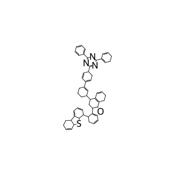 C1=CC(C2CC=CC3=C2C2CC(C4C=C(C5=CCC(c6nc(C7=CCCC=C7)nc(-c7ccccc7)n6)C=C5)CCC4)C4=C(CCC=C4)C2O3)C2SC3C=CCCC3C2=C1